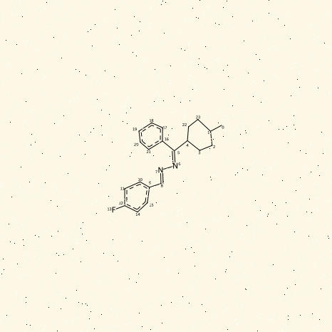 CC1CCC(C(=NN=Cc2ccc(F)cc2)c2ccccc2)CC1